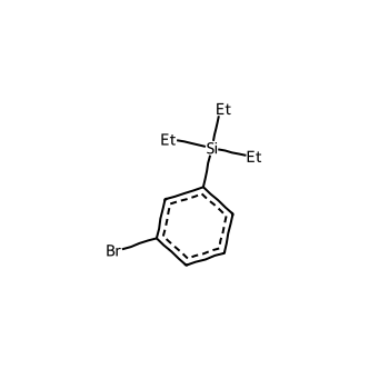 CC[Si](CC)(CC)c1cccc(Br)c1